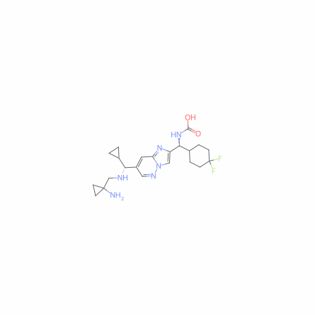 NC1(CN[C@@H](c2cnn3cc([C@@H](NC(=O)O)C4CCC(F)(F)CC4)nc3c2)C2CC2)CC1